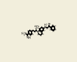 Cl.N=C(N)c1ccc(CCC(=O)N2CCCc3cc(NCC(=O)c4ccccc4)ccc32)cc1